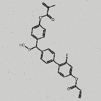 C=CC(=O)Oc1ccc(-c2ccc(C(OO)c3ccc(OC(=O)C(=C)C)cc3)cc2)c(F)c1